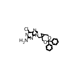 Nc1nc(Cl)c2ncn(CC34COC(c5ccccc5)(c5ccccc5)OCC3C4)c2n1